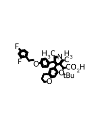 Cc1nc(C)c(C(OC(C)(C)C)C(=O)O)c(-c2ccc3c(c2)CCCO3)c1-c1ccc(OCCc2ccc(F)cc2F)cc1